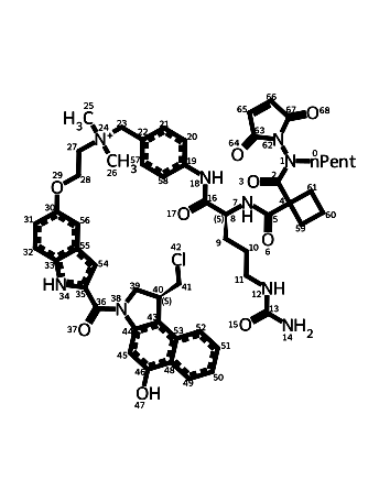 CCCCCN(C(=O)C1(C(=O)N[C@@H](CCCNC(N)=O)C(=O)Nc2ccc(C[N+](C)(C)CCOc3ccc4[nH]c(C(=O)N5C[C@@H](CCl)c6c5cc(O)c5ccccc65)cc4c3)cc2)CCC1)N1C(=O)C=CC1=O